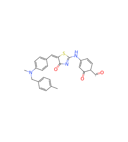 Cc1ccc(CN(C)c2ccc(C=C3SC(NC4=CC(=O)C([C]=O)C=C4)=NC3=O)cc2)cc1